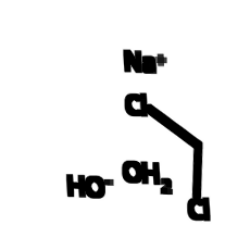 ClCCl.O.[Na+].[OH-]